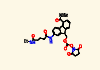 CCNC(=O)CCCC(=O)Nc1ccc2c(c1)C(COC(=O)ON1C(=O)CCC1=O)c1cccc(C(=O)NC)c1-2